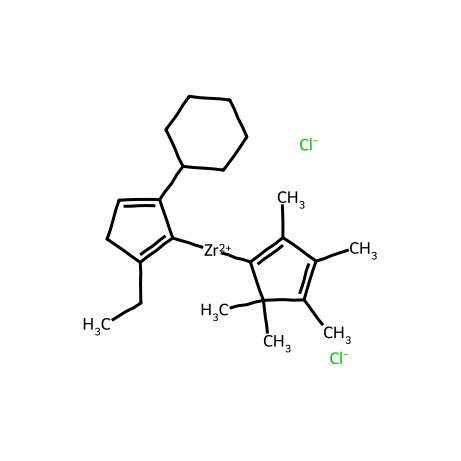 CCC1=[C]([Zr+2][C]2=C(C)C(C)=C(C)C2(C)C)C(C2CCCCC2)=CC1.[Cl-].[Cl-]